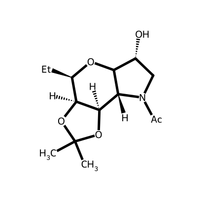 CC[C@H]1OC2[C@H](O)CN(C(C)=O)[C@@H]2[C@H]2OC(C)(C)O[C@H]21